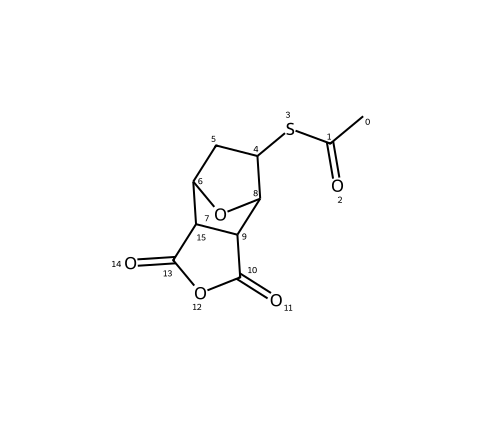 CC(=O)SC1CC2OC1C1C(=O)OC(=O)C21